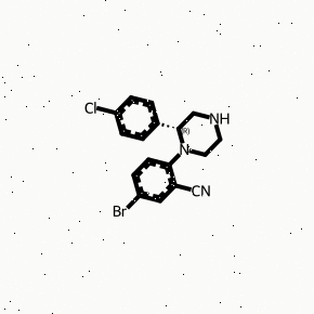 N#Cc1cc(Br)ccc1N1CCNC[C@H]1c1ccc(Cl)cc1